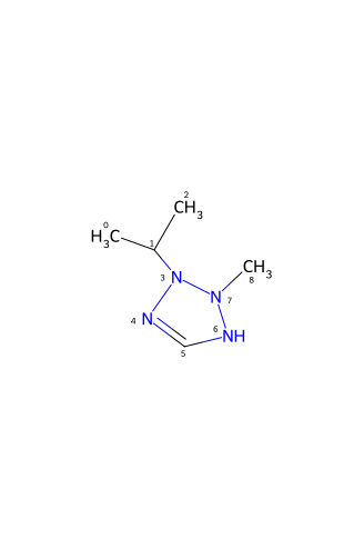 CC(C)N1N=CNN1C